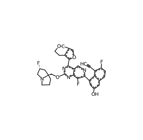 C#Cc1c(F)ccc2cc(O)cc(-c3ncc4c(-c5occ6c5CCOC6)nc(OC[C@@]56CCCN5C[C@H](F)C6)nc4c3F)c12